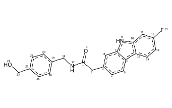 O=C(Cc1ccc2c(c1)[nH]c1cc(F)ccc12)NCc1ccc(CO)cc1